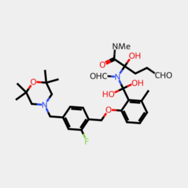 CNC(=O)C(O)(CCC=O)N(C=O)C(O)(O)c1c(C)cccc1OCc1ccc(CN2CC(C)(C)OC(C)(C)C2)cc1F